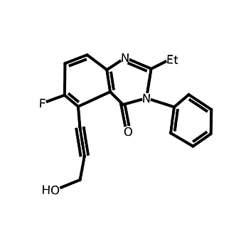 CCc1nc2ccc(F)c(C#CCO)c2c(=O)n1-c1ccccc1